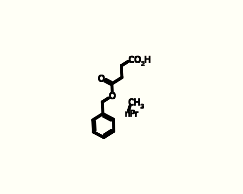 CCCC.O=C(O)CCC(=O)OCc1ccccc1